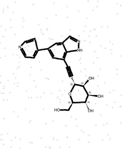 OC[C@H]1O[C@H](C#Cc2cc(-c3ccncc3)cc3cn[nH]c23)[C@@H](O)[C@@H](O)[C@@H]1O